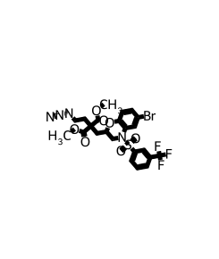 COC(=O)C(CCN=[N+]=[N-])(CC1CN(S(=O)(=O)c2cccc(C(F)(F)F)c2)c2cc(Br)ccc2O1)C(=O)OC